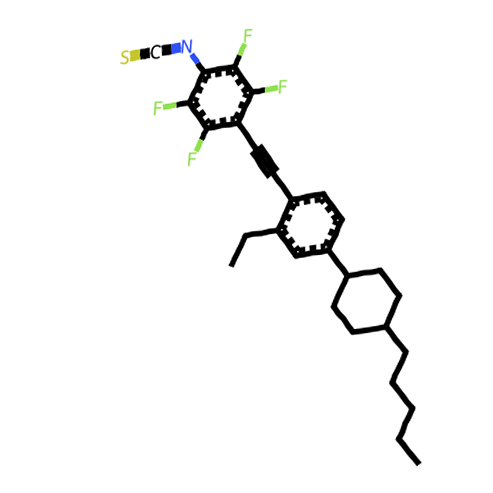 CCCCCC1CCC(c2ccc(C#Cc3c(F)c(F)c(N=C=S)c(F)c3F)c(CC)c2)CC1